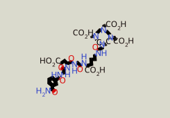 NC(=O)c1cccc(C(=O)NCC(=O)NC(CCC(=O)O)C(=O)NCC(=O)N[C@H](CCCCNC(=O)CN2CCN(CC(=O)O)CCN(CC(=O)O)CCN(CC(=O)O)CC2)C(=O)O)c1